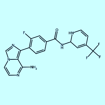 Nc1nccn2cnc(-c3ccc(C(=O)NC4C=C(C(F)(F)F)C=CN4)cc3F)c12